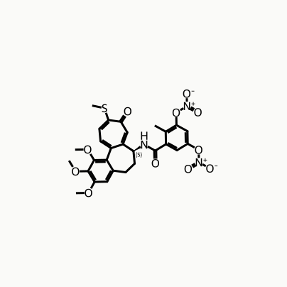 COc1cc2c(c(OC)c1OC)-c1ccc(SC)c(=O)cc1[C@@H](NC(=O)c1cc(O[N+](=O)[O-])cc(O[N+](=O)[O-])c1C)CC2